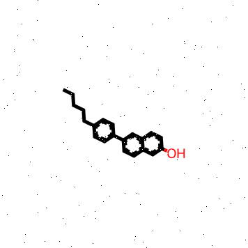 CCCCCc1ccc(-c2ccc3cc(O)ccc3c2)cc1